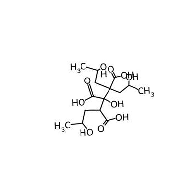 CC(O)CC(C(=O)O)C(O)(C(=O)O)C(CC(C)O)(CC(C)O)C(=O)O